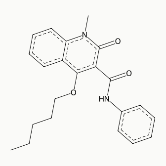 CCCCCOc1c(C(=O)Nc2ccccc2)c(=O)n(C)c2ccccc12